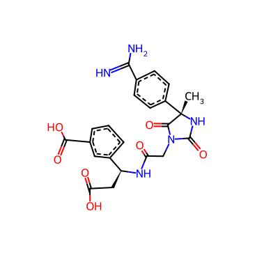 C[C@@]1(c2ccc(C(=N)N)cc2)NC(=O)N(CC(=O)N[C@@H](CC(=O)O)c2cccc(C(=O)O)c2)C1=O